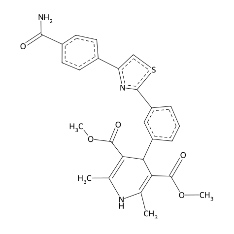 COC(=O)C1=C(C)NC(C)=C(C(=O)OC)C1c1cccc(-c2nc(-c3ccc(C(N)=O)cc3)cs2)c1